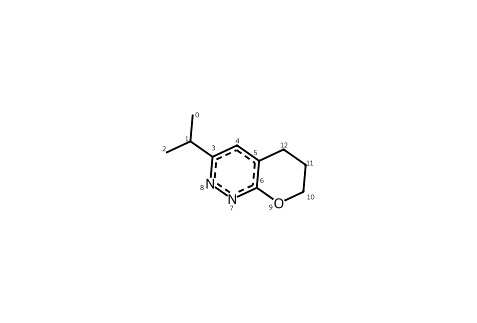 CC(C)c1cc2c(nn1)OCCC2